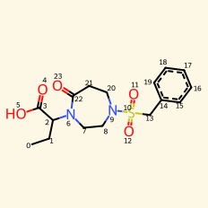 CCC(C(=O)O)N1CCN(S(=O)(=O)Cc2ccccc2)CCC1=O